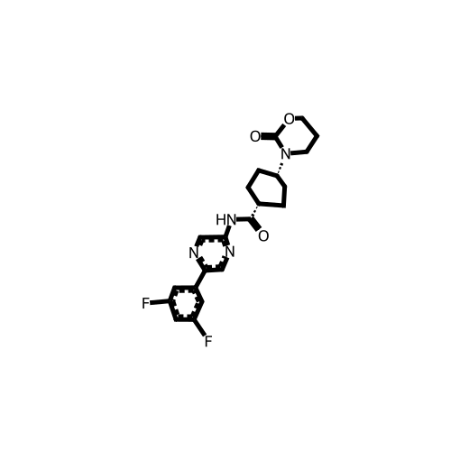 O=C1OCCCN1[C@H]1CC[C@@H](C(=O)Nc2cnc(-c3cc(F)cc(F)c3)cn2)CC1